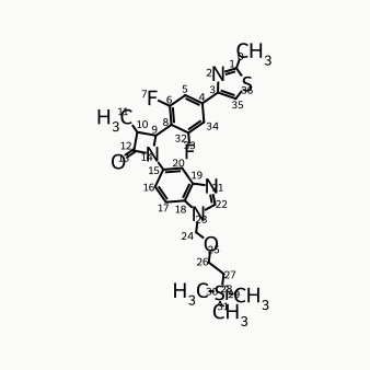 Cc1nc(-c2cc(F)c(C3C(C)C(=O)N3c3ccc4c(c3)ncn4COCC[Si](C)(C)C)c(F)c2)cs1